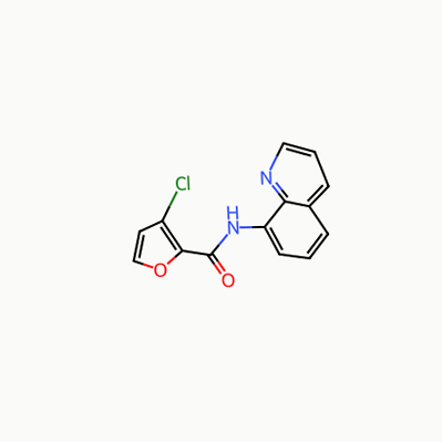 O=C(Nc1cccc2cccnc12)c1occc1Cl